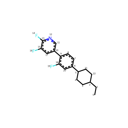 CCC1CCC(c2ccc(-c3cnc(F)c(F)c3)c(F)c2)CC1